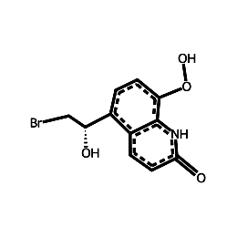 O=c1ccc2c([C@H](O)CBr)ccc(OO)c2[nH]1